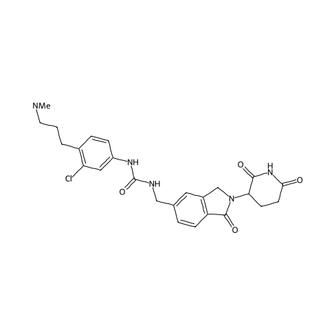 CNCCCc1ccc(NC(=O)NCc2ccc3c(c2)CN(C2CCC(=O)NC2=O)C3=O)cc1Cl